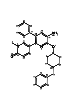 Cn1nc(-c2nc(OC3CCN(Cc4ccccc4)CC3)c(N)nc2-c2ccccc2)ccc1=O